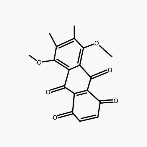 COc1c(C)c(C)c(OC)c2c(=O)c3c(=O)ccc(=O)c=3c(=O)c12